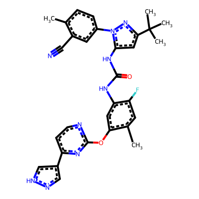 Cc1ccc(-n2nc(C(C)(C)C)cc2NC(=O)Nc2cc(Oc3nccc(-c4cn[nH]c4)n3)c(C)cc2F)cc1C#N